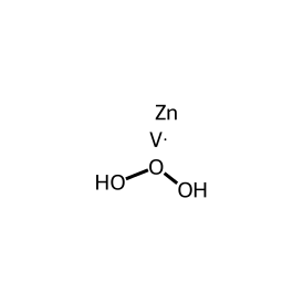 OOO.[V].[Zn]